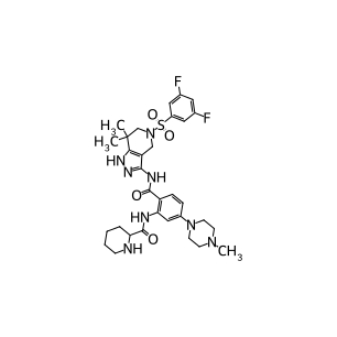 CN1CCN(c2ccc(C(=O)Nc3n[nH]c4c3CN(S(=O)(=O)c3cc(F)cc(F)c3)CC4(C)C)c(NC(=O)C3CCCCN3)c2)CC1